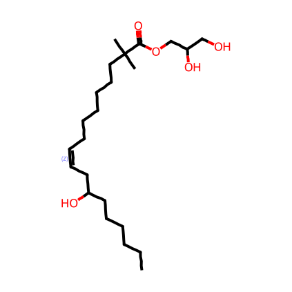 CCCCCCC(O)C/C=C\CCCCCCC(C)(C)C(=O)OCC(O)CO